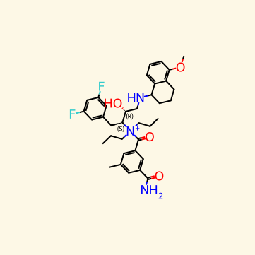 CCC[N+](CCC)(C(=O)c1cc(C)cc(C(N)=O)c1)[C@@H](Cc1cc(F)cc(F)c1)[C@H](O)CNC1CCCc2c(OC)cccc21